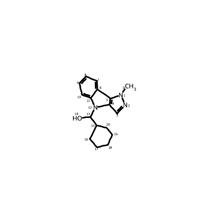 Cn1ncc2c1c1ccccc1n2C(O)C1CCCCC1